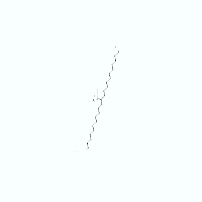 CCCCCCCCCCCCC(CCCCCCCCCCCC)[NH2+][O-]